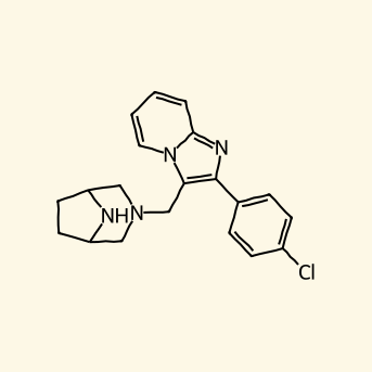 Clc1ccc(-c2nc3ccccn3c2CN2CC3CCC(C2)N3)cc1